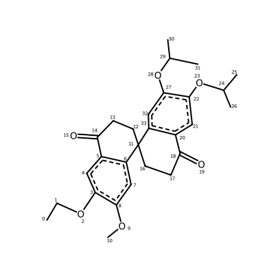 CCOc1cc2c(cc1OC)C1(CCC2=O)CCC(=O)c2cc(OC(C)C)c(OC(C)C)cc21